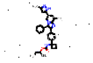 C/C=C(\C)OC(=O)NC1(c2ccc(-c3nc4c(C)cc(-c5cc(C)n[nH]5)cn4c3-c3ccccc3)cc2)CCC1